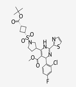 COC(=O)C1=C(C2CCN(S(=O)(=O)[C@H]3C[C@@H](C(=O)OC(C)(C)C)C3)C2)NC(c2nccs2)=NC1c1ccc(F)cc1Cl